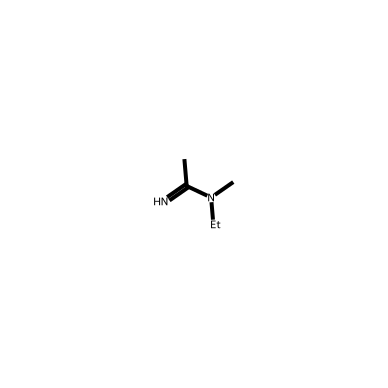 [CH2]CN(C)C(C)=N